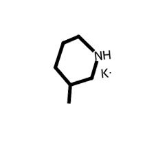 CC1CCCNC1.[K]